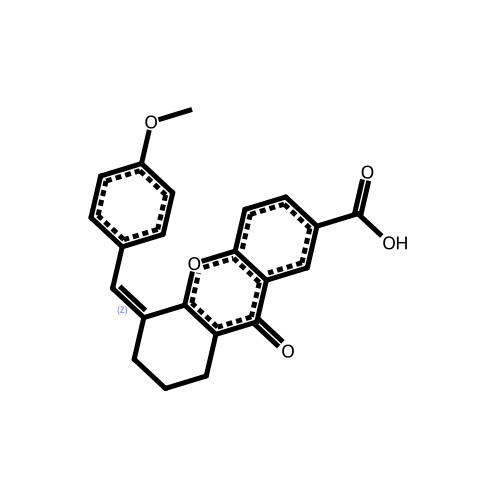 COc1ccc(/C=C2/CCCc3c2oc2ccc(C(=O)O)cc2c3=O)cc1